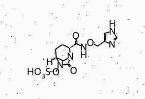 O=C(NOCc1c[nH]cn1)[C@@H]1CC[C@@H]2CN1C(=O)N2OS(=O)(=O)O